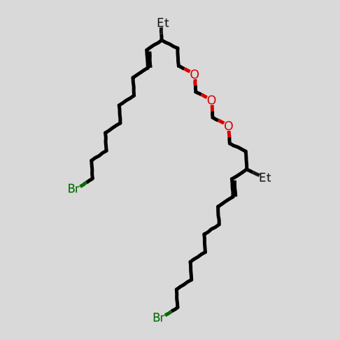 CCC(C=CCCCCCCCCBr)CCOCOCOCCC(C=CCCCCCCCCBr)CC